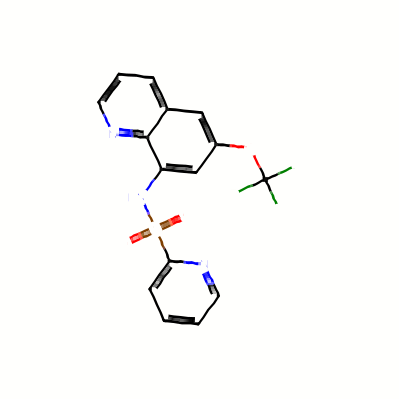 O=S(=O)(Nc1cc(OC(F)(F)F)cc2cccnc12)c1ccccn1